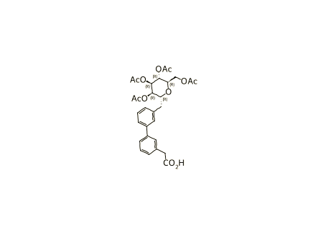 CC(=O)OC[C@H]1O[C@H](Cc2cccc(-c3cccc(CC(=O)O)c3)c2)[C@@H](OC(C)=O)[C@@H](OC(C)=O)[C@@H]1OC(C)=O